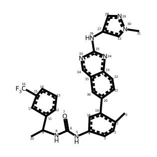 Cc1ccc(NC(=O)NC(C)c2cccc(C(F)(F)F)c2)cc1-c1ccc2nc(Nc3cnn(C)c3)ncc2c1